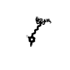 CCOC(CCCCCCc1ccc(F)cc1F)(O[SiH3])OCC